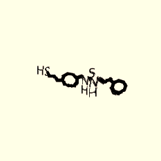 S=C(NCCCC1CCCCCCC1)NCC1CCCCC(CCCS)CCC1